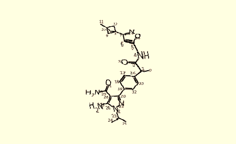 CC(C(=O)Nc1cc(C23CC(C)(C2)C3)no1)c1ccc(-c2nn(C(C)C)c(N)c2C(N)=O)cc1